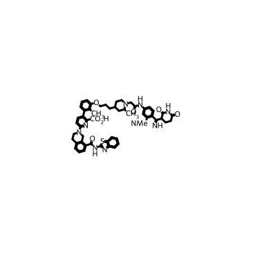 CNc1cc(NC(=O)CN2CCC(CCCOc3cccc(-c4ccc(N5CCc6cccc(C(=O)Nc7nc8ccccc8s7)c6C5)nc4C(=O)O)c3C)CC2C)ccc1C(=N)C1CCC(=O)NC1=O